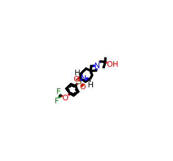 CC(C)(O)CN1CC2(C[C@H]3CC[C@@H](C2)N3S(=O)(=O)c2ccc(OC(F)F)cc2)C1